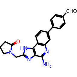 Nc1nc2cc(-c3ccc(C=O)cc3)ccc2c2[nH]c(CN3CCCC3=O)nc12